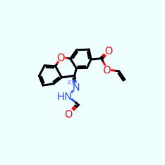 C=COC(=O)c1ccc2oc3ccccc3/c(=N\NC=O)c2c1